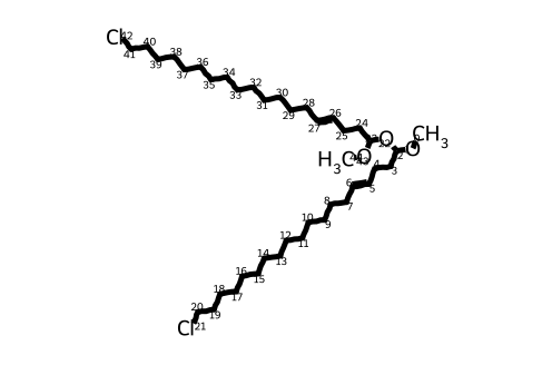 COC(CCC=CCCCCCCCCCCCCCCCl)OC(CCC=CCCCCCCCCCCCCCCCl)OC